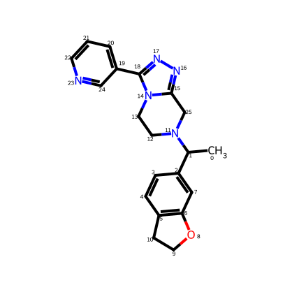 CC(c1ccc2c(c1)OCC2)N1CCn2c(nnc2-c2cccnc2)C1